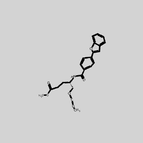 COCOC[C@H](CCC(=O)OC)NC(=O)c1ccc(-c2cc3ccccc3o2)cc1